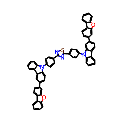 c1ccc2c(c1)oc1cc(-c3ccc4c(c3)c3ccccc3n4-c3ccc(-c4nsc(-c5ccc(-n6c7ccccc7c7ccc(-c8ccc9c(c8)oc8ccccc89)cc76)cc5)n4)cc3)ccc12